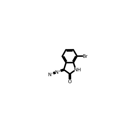 [N-]=[N+]=C1C(=O)Nc2c(Br)cccc21